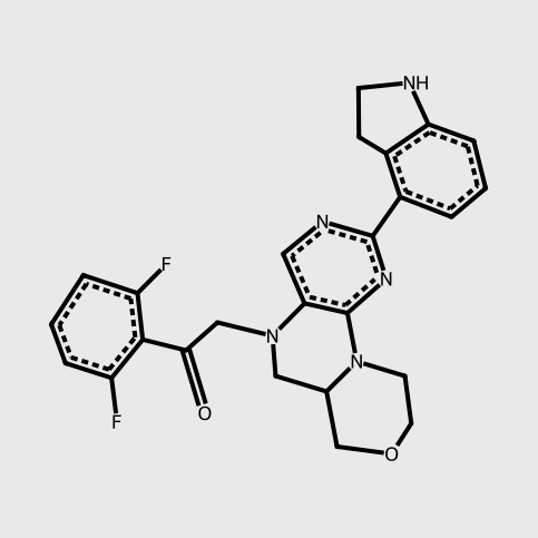 O=C(CN1CC2COCCN2c2nc(-c3cccc4c3CCN4)ncc21)c1c(F)cccc1F